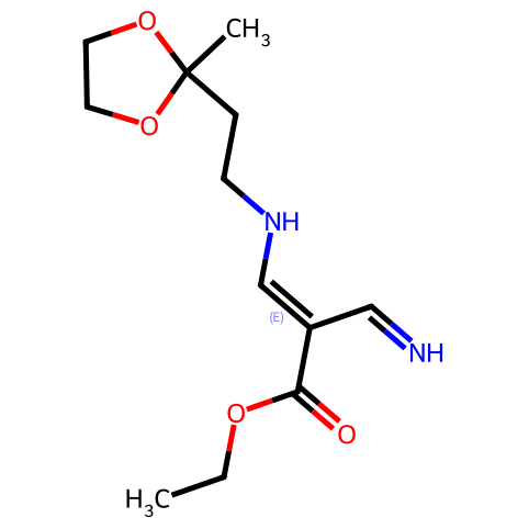 CCOC(=O)/C(C=N)=C/NCCC1(C)OCCO1